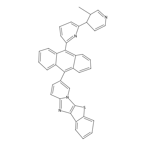 CC1C=NC=CC1c1cccc(-c2c3ccccc3c(-c3ccc4nc5c6ccccc6sc5n4c3)c3ccccc23)n1